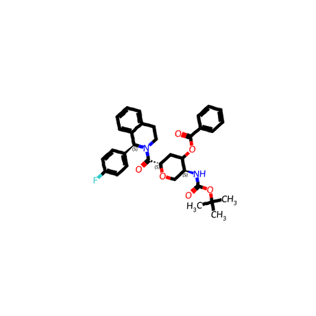 CC(C)(C)OC(=O)N[C@H]1CO[C@H](C(=O)N2CCc3ccccc3[C@@H]2c2ccc(F)cc2)CC1OC(=O)c1ccccc1